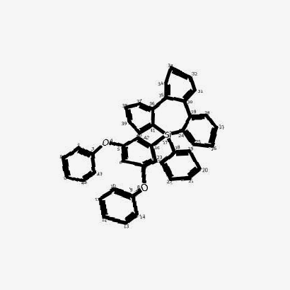 c1ccc(Oc2cc(Oc3ccccc3)cc([Si]3(c4ccccc4)c4ccccc4-c4ccccc4-c4ccccc43)c2)cc1